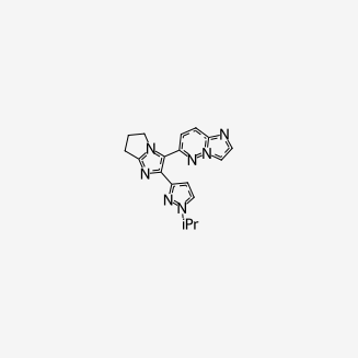 CC(C)n1ccc(-c2nc3n(c2-c2ccc4nccn4n2)CCC3)n1